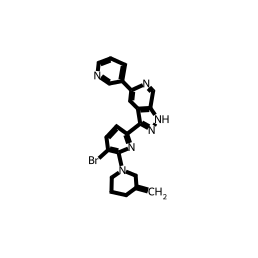 C=C1CCCN(c2nc(-c3n[nH]c4cnc(-c5cccnc5)cc34)ccc2Br)C1